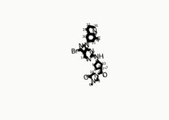 CN1CN(C(=O)[C@@]2(C)CC[C@@H](Nc3ncc4c(Br)nn(-c5cc(F)c6ncccc6c5)c4n3)C2)CC1=O